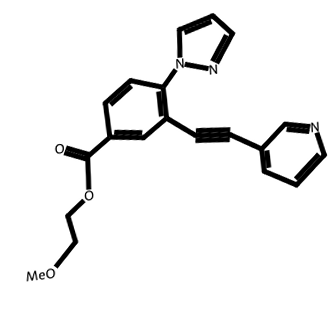 COCCOC(=O)c1ccc(-n2cccn2)c(C#Cc2cccnc2)c1